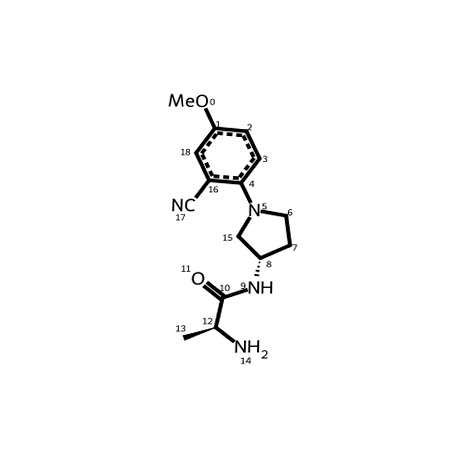 COc1ccc(N2CC[C@H](NC(=O)[C@H](C)N)C2)c(C#N)c1